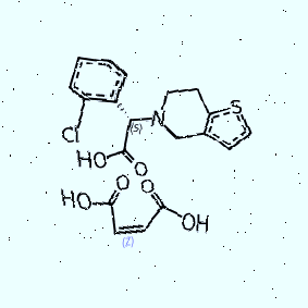 O=C(O)/C=C\C(=O)O.O=C(O)[C@H](c1ccccc1Cl)N1CCc2sccc2C1